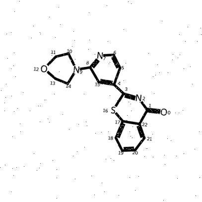 O=c1nc(-c2ccnc(N3CCOCC3)c2)sc2ccccc12